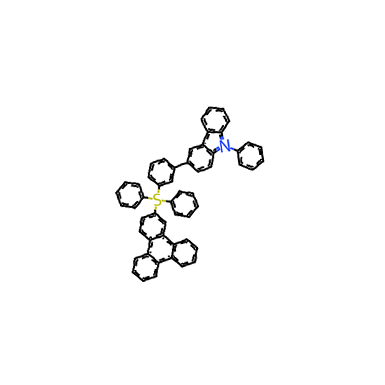 c1ccc(-n2c3ccccc3c3cc(-c4cccc(S(c5ccccc5)(c5ccccc5)c5ccc6c7ccccc7c7ccccc7c6c5)c4)ccc32)cc1